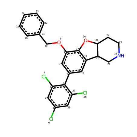 Clc1cc(Cl)c(-c2cc(OCc3ccccc3)c3c(c2)C2CNCCC2O3)c(Cl)c1